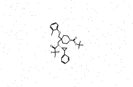 CC(C)(C)OC(=O)N1CCC(COc2ccccc2F)(CN(C(=O)C(F)(F)F)[C@@H]2CC2c2ccccc2)CC1